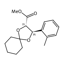 COC(=O)[C@H]1OC2(CCCCC2)O[C@@H]1c1ccccc1C